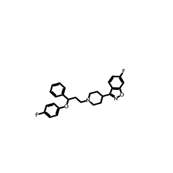 Fc1ccc(OC(CCN2CCC(c3noc4cc(F)ccc34)CC2)c2ccccc2)cc1